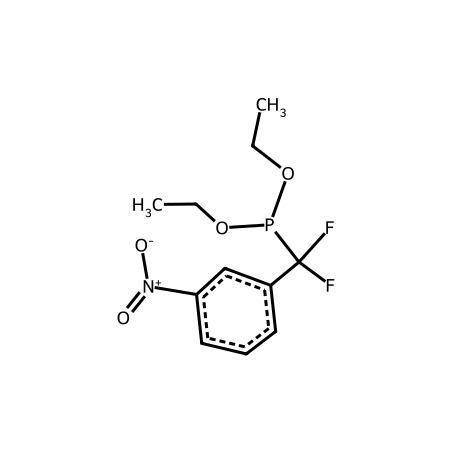 CCOP(OCC)C(F)(F)c1cccc([N+](=O)[O-])c1